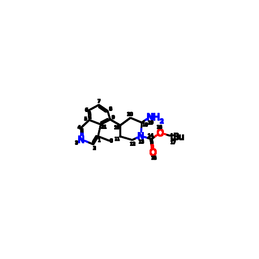 Cc1cncc2cccc(C3CCN(C(=O)OC(C)(C)C)C(N)C3)c12